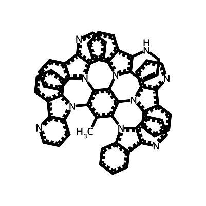 Cc1c(-n2c3ccccc3c3ncccc32)c(-n2c3ccccc3c3ncccc32)c(-n2c3c(c4ccccc42)NCC=C3)c(-n2c3ccccc3c3ncccc32)c1-n1c2ccccc2c2ncccc21